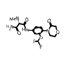 CN[C@@H](C(N)=O)C(=O)Nc1ccc(N2CCOCC2=O)c(OC(F)F)c1